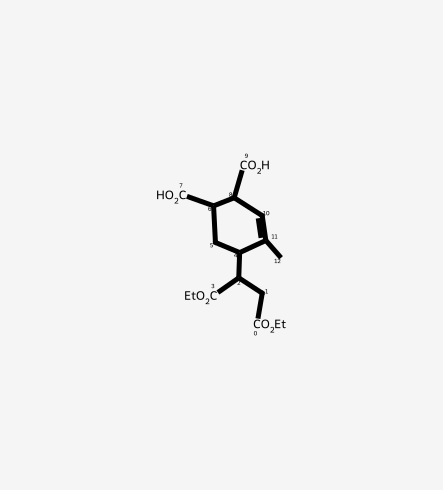 CCOC(=O)CC(C(=O)OCC)C1CC(C(=O)O)C(C(=O)O)C=C1C